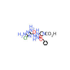 Nc1nc(N)c(C(=O)N/C(=N/C(=O)OCc2ccccc2)NC2CCN(C(=O)O)CC2)nc1Cl